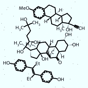 C#C[C@]1(O)CC[C@H]2[C@@H]3CCc4cc(OC)ccc4[C@H]3CC[C@@]21C.CC(C)(O)CC[C@@H](O)[C@](C)(O)[C@H]1CC[C@@]2(O)C3=CC(=O)[C@@H]4C[C@@H](O)[C@@H](O)C[C@]4(C)[C@H]3CC[C@]12C.CC/C(=C(/CC)c1ccc(O)cc1)c1ccc(O)cc1